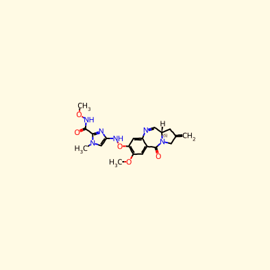 C=C1C[C@H]2C=Nc3cc(ONc4cn(C)c(C(=O)NOC)n4)c(OC)cc3C(=O)N2C1